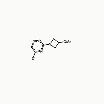 COC1CN(c2cncc(Cl)n2)C1